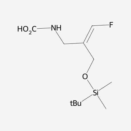 CC(C)(C)[Si](C)(C)OC/C(=C\F)CNC(=O)O